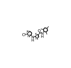 Cc1cc(C)c(NC(=O)c2cnc(Nc3ccnc(Cl)n3)s2)c(C)c1